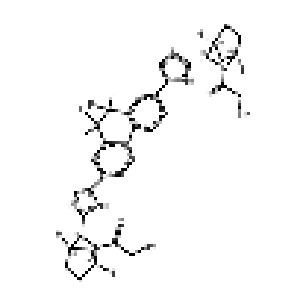 CC(C)CC(=O)N1[C@@H]2CC[C@@H](C2)[C@H]1c1ncc(-c2ccc3c(c2)C(F)(F)C(F)(F)c2cc(-c4cnc([C@@H]5[C@H]6CC[C@H](C6)N5C(=O)CC(C)C)[nH]4)ccc2-3)[nH]1